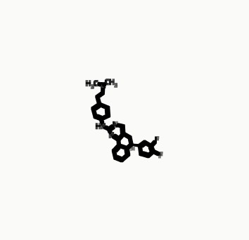 CN(C)CCc1ccc(Nc2ncc3c(n2)-c2ccccc2[C@H](c2ccc(F)c(F)c2)C3)cc1